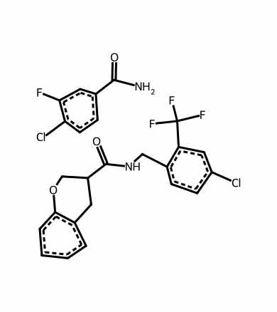 NC(=O)c1ccc(Cl)c(F)c1.O=C(NCc1ccc(Cl)cc1C(F)(F)F)C1COc2ccccc2C1